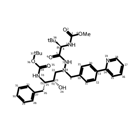 COC(=O)N[C@@H](C(=O)NN(Cc1ccc(-c2ccccn2)cc1)C[C@H](O)[C@H](Cc1ccccc1)NC(=O)OC(C)(C)C)C(C)(C)C